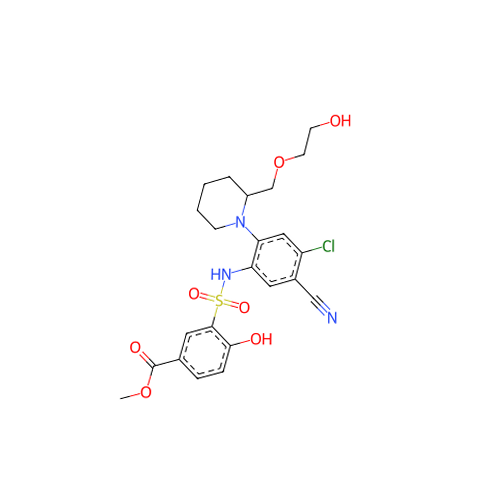 COC(=O)c1ccc(O)c(S(=O)(=O)Nc2cc(C#N)c(Cl)cc2N2CCCCC2COCCO)c1